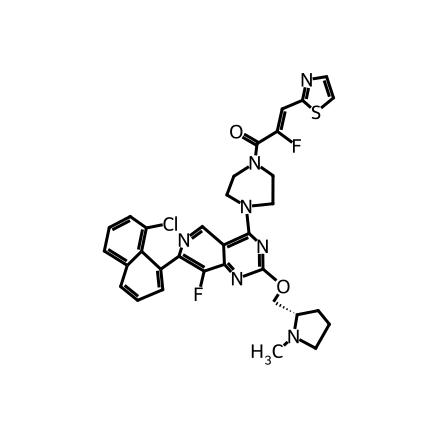 CN1CCC[C@H]1COc1nc(N2CCN(C(=O)/C(F)=C/c3nccs3)CC2)c2cnc(-c3cccc4cccc(Cl)c34)c(F)c2n1